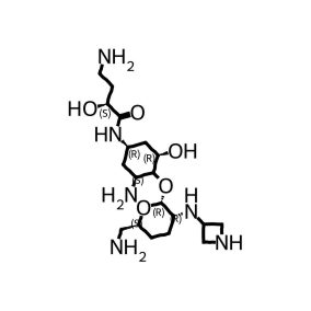 NCC[C@H](O)C(=O)N[C@H]1C[C@@H](O)C(O[C@H]2O[C@H](CN)CC[C@H]2NC2CNC2)[C@@H](N)C1